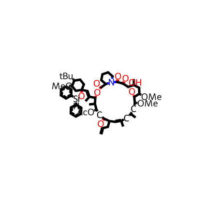 C=CCC1C=C(C)CC(C)CC(OC)C2OC(O)(C(=O)C(=O)N3CCCCC3C(=O)OC(C(C)=CC3(O[SiH](c4ccccc4)c4ccccc4)CCC(C(C)(C)C)C(OC)C3)C(C)C(OC(C)=O)CC1=O)C(C)CC2OC